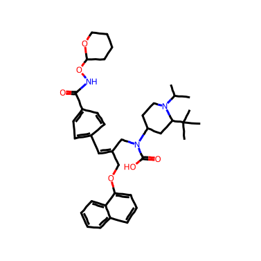 CC(C)N1CCC(N(CC(=Cc2ccc(C(=O)NOC3CCCCO3)cc2)COc2cccc3ccccc23)C(=O)O)CC1C(C)(C)C